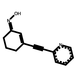 ON=C1C=C(C#Cc2ccccn2)CCC1